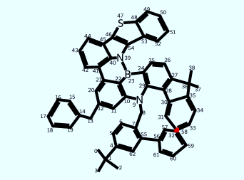 CC(C)(C)c1ccc(CN2c3cc(Cc4ccccc4)cc4c3B(c3ccc5c(c32)-c2ccccc2C5(C)C)n2c3c-4cccc3c3sc4ccccc4c32)c(-c2ccccc2)c1